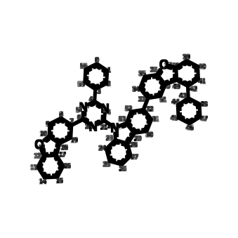 c1ccc(-c2nc(-c3ccc4oc5ccccc5c4c3)nc(-n3c4ccccc4c4ccc(-c5ccc6oc7cccc(-c8ccccc8)c7c6c5)cc43)n2)cc1